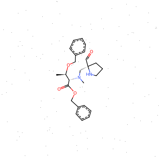 C[C@@H](OCc1ccccc1)[C@@H](C(=O)OCc1ccccc1)N(C)C[C@]1(C=O)CCCN1